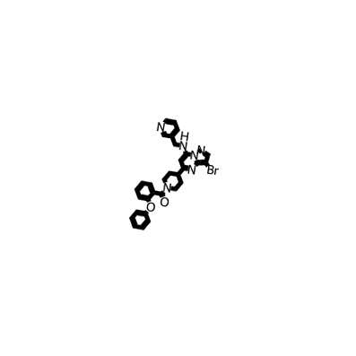 O=C(c1ccccc1Oc1ccccc1)N1CCC(c2cc(NCc3cccnc3)n3ncc(Br)c3n2)CC1